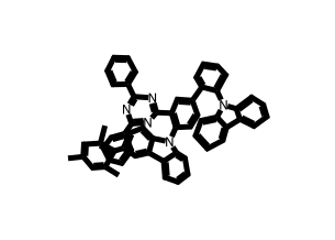 Cc1cc(C)c(-c2ccc3c(c2)c2ccccc2n3-c2ccc(-c3ccccc3-n3c4ccccc4c4ccccc43)cc2-c2nc(-c3ccccc3)nc(-c3ccccc3)n2)c(C)c1